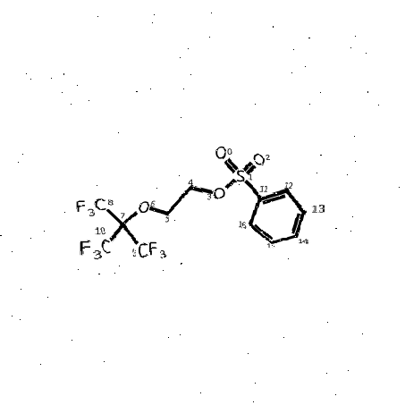 O=S(=O)(OCCOC(C(F)(F)F)(C(F)(F)F)C(F)(F)F)c1ccccc1